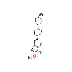 CCC[C@H]1CC[C@H]([C@H]2CC[C@H](C=Cc3ccc(OCC)c(Cl)c3F)CC2)CC1